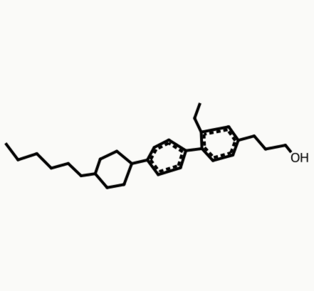 CCCCCCC1CCC(c2ccc(-c3ccc(CCCO)cc3CC)cc2)CC1